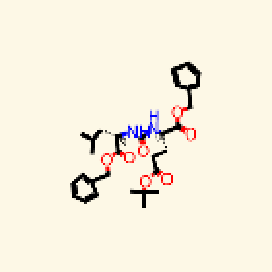 CC(C)C[C@H](NC(=O)N[C@@H](CCC(=O)OC(C)(C)C)C(=O)OCc1ccccc1)C(=O)OCc1ccccc1